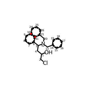 OC(CCl)CC(c1ccccc1)N(Cc1ccccc1)Cc1ccccc1